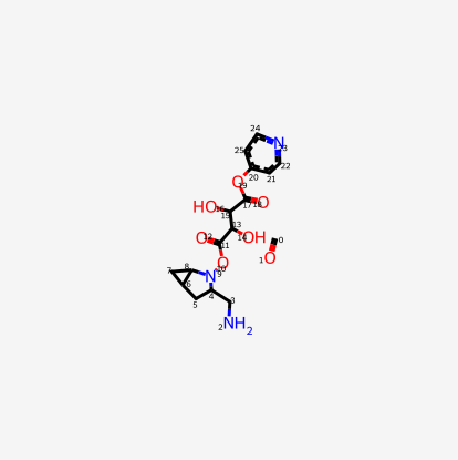 C=O.NCC1CC2CC2N1OC(=O)C(O)C(O)C(=O)Oc1ccncc1